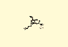 C=Cc1cn(CCCOC)c2cc(C(=O)O)ncc12